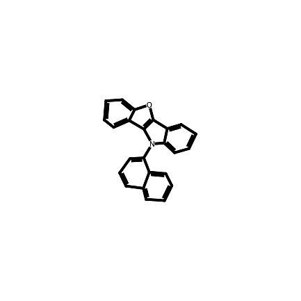 c1ccc2c(-n3c4ccccc4c4oc5ccccc5c43)cccc2c1